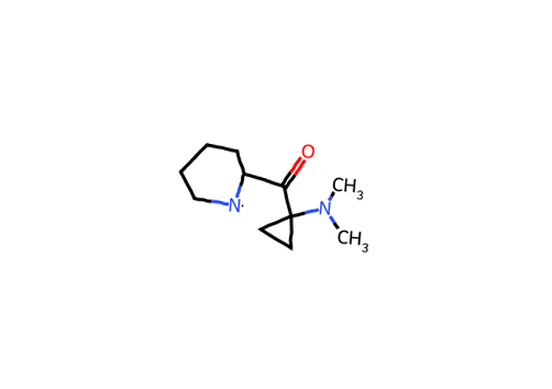 CN(C)C1(C(=O)C2CCCC[N]2)CC1